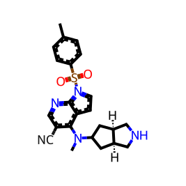 Cc1ccc(S(=O)(=O)n2ccc3c(N(C)C4C[C@H]5CNC[C@H]5C4)c(C#N)cnc32)cc1